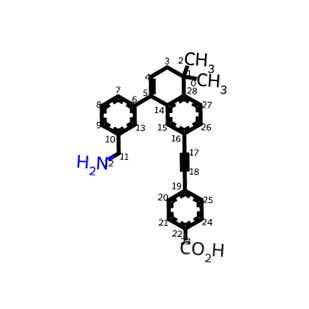 CC1(C)CC=C(c2cccc(CN)c2)c2cc(C#Cc3ccc(C(=O)O)cc3)ccc21